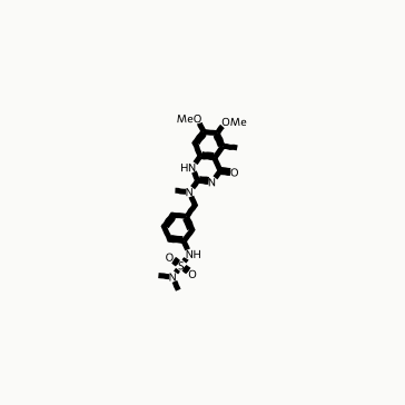 COc1cc2[nH]c(N(C)Cc3cccc(NS(=O)(=O)N(C)C)c3)nc(=O)c2c(C)c1OC